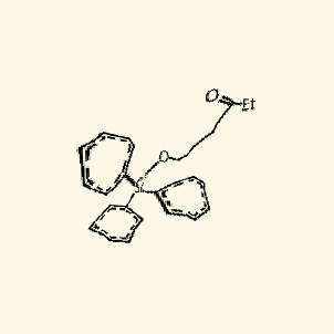 CCC(=O)CCCO[Si](c1ccccc1)(c1ccccc1)c1ccccc1